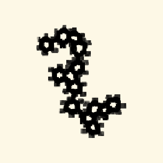 c1ccc(-c2ccc3ccc4ccc(-c5ccc6c7ccc(-c8cccc(-c9nc%10ccccc%10c%10c9ccc9c%11ccccc%11sc9%10)c8)cc7c7ccccc7c6c5)nc4c3n2)cc1